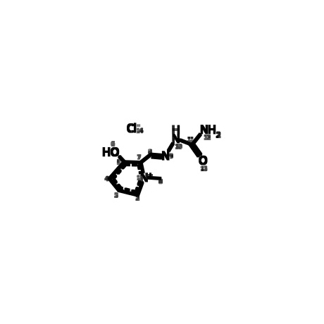 C[n+]1cccc(O)c1C=NNC(N)=O.[Cl-]